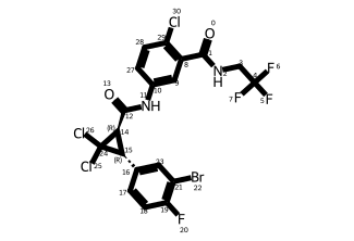 O=C(NCC(F)(F)F)c1cc(NC(=O)[C@H]2[C@H](c3ccc(F)c(Br)c3)C2(Cl)Cl)ccc1Cl